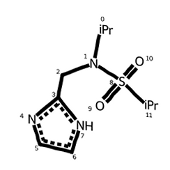 CC(C)N(Cc1ncc[nH]1)S(=O)(=O)C(C)C